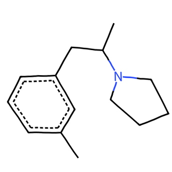 Cc1cccc(CC(C)N2CCCC2)c1